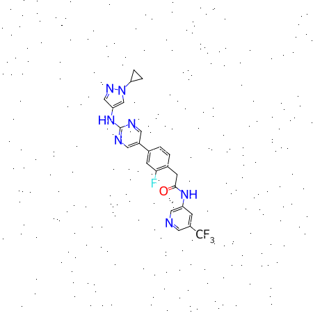 O=C(Cc1ccc(-c2cnc(Nc3cnn(C4CC4)c3)nc2)cc1F)Nc1cncc(C(F)(F)F)c1